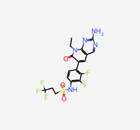 CCn1c(=O)c(-c2ccc(NS(=O)(=O)CCC(F)(F)F)c(F)c2F)cc2cnc(N)nc21